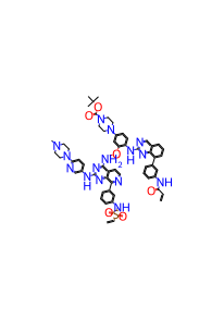 C=CC(=O)Nc1cccc(-c2cccc3cnc(Nc4ccc(N5CCN(C(=O)OC(C)(C)C)CC5)cc4OC)nc23)c1.C=CS(=O)(=O)Nc1cccc(-c2nccc3c(N)nc(Nc4ccc(N5CCN(C)CC5)nc4)nc23)c1